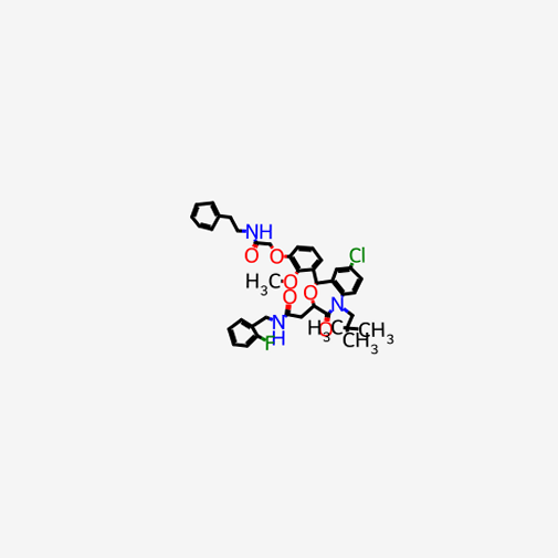 COc1c(OCC(=O)NCCc2ccccc2)cccc1C1OC(CC(=O)NCc2ccccc2F)C(=O)N(CC(C)(C)C)c2ccc(Cl)cc21